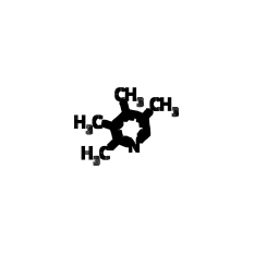 Cc1cnc(C)c(C)c1C